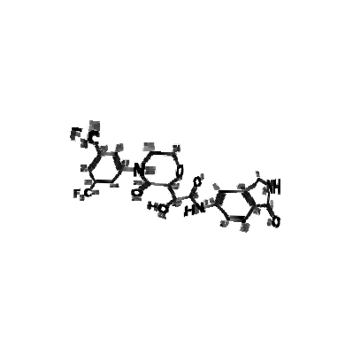 O=C1NCc2cc(NC(=O)C(O)C3OCCN(c4cc(C(F)(F)F)cc(C(F)(F)F)c4)C3=O)ccc21